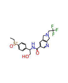 CC[S+]([O-])c1ccc(C(CO)NC(=O)c2cnc3c(c2)CN(CC(F)(F)F)C3)cc1